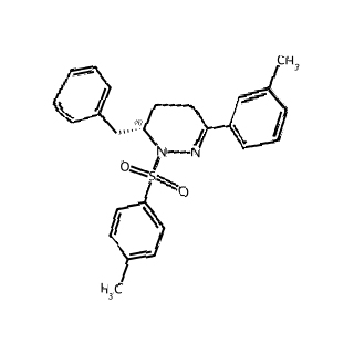 Cc1ccc(S(=O)(=O)N2N=C(c3cccc(C)c3)CC[C@H]2Cc2ccccc2)cc1